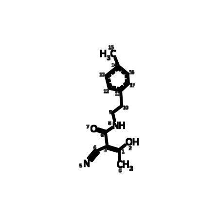 CC(O)=C(C#N)C(=O)NCCc1ccc(C)cc1